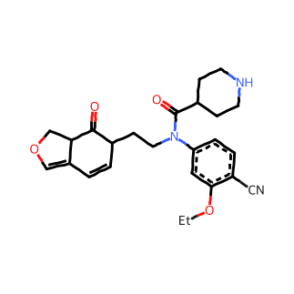 CCOc1cc(N(CCC2C=CC3=COCC3C2=O)C(=O)C2CCNCC2)ccc1C#N